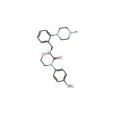 CN1CCN(c2ccccc2C[C@@H]2OCCN(c3ccc(C(C)(C)C)cc3)C2=O)CC1